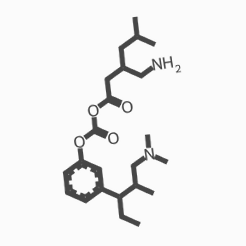 CCC(c1cccc(OC(=O)OC(=O)CC(CN)CC(C)C)c1)C(C)CN(C)C